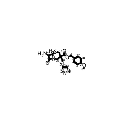 COc1ccc(COC(=O)C2(CSc3cnns3)CS[C@@H]3C(N)C(=O)N3C2)cc1